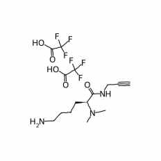 C#CCNC(=O)[C@H](CCCCN)N(C)C.O=C(O)C(F)(F)F.O=C(O)C(F)(F)F